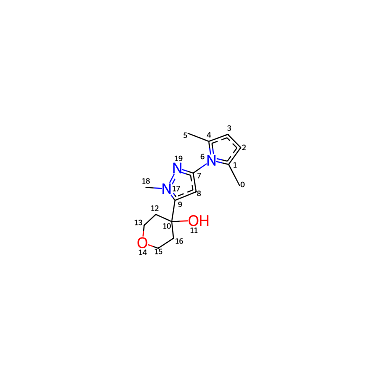 Cc1ccc(C)n1-c1cc(C2(O)CCOCC2)n(C)n1